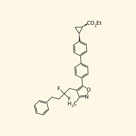 CCOC(=O)[C@@H]1C[C@@H]1c1ccc(-c2ccc(-c3onc(C)c3CC(F)(F)CCc3ccccc3)cc2)cc1